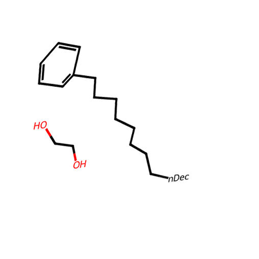 CCCCCCCCCCCCCCCCCCc1ccccc1.OCCO